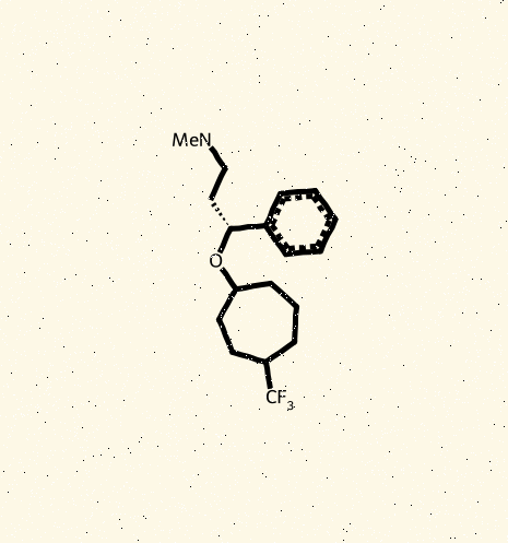 CNCC[C@@H](OC1CCCC(C(F)(F)F)CC1)c1ccccc1